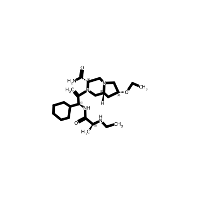 C=C([C@@H](NC(=O)[C@H](C)NCC)C1CCCCC1)N1C[C@H]2C[C@@H](OCC)CN2C[C@H]1C(N)=O